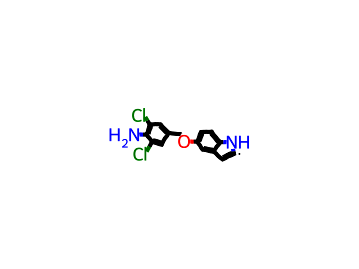 Nc1c(Cl)cc(COc2ccc3[nH][c]cc3c2)cc1Cl